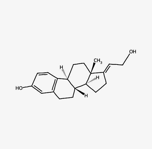 C[C@]12CC[C@@H]3c4ccc(O)cc4CC[C@H]3[C@@H]1CC/C2=C\CO